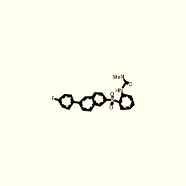 CNC(=O)Nc1ccccc1S(=O)(=O)c1ccc2cc(-c3ccc(F)cc3)ccc2c1